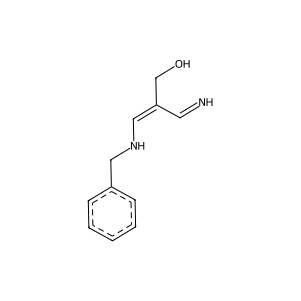 N=C/C(=C\NCc1ccccc1)CO